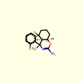 C[C@]1(c2ccccc2F)N=C(N)O[C@@H]2CCCC(F)(F)[C@@H]21